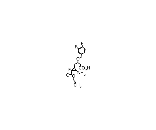 C=CCOC(=O)C1(F)C(N)C1CC(CC(=O)O)OCc1ccc(F)c(F)c1